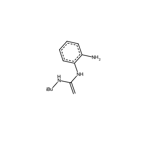 C=C(Nc1ccccc1N)NC(C)CC